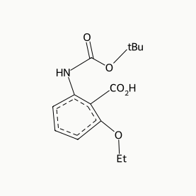 CCOc1cccc(NC(=O)OC(C)(C)C)c1C(=O)O